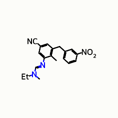 CCN(C)C=Nc1cc(C#N)cc(Cc2cccc([N+](=O)[O-])c2)c1C